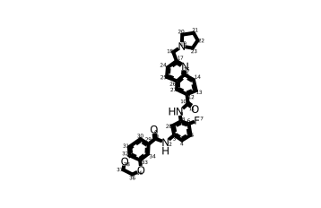 O=C(Nc1ccc(F)c(NC(=O)c2ccc3nc(CN4CCCC4)ccc3c2)c1)c1ccc2c(c1)OCCO2